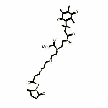 C=C1CCC(=O)N1OC(=O)CCOCCOCCN(CCN(C)C(=O)CC(C)(C)C1=C(C)C(=O)C(C)=C(C)C1=O)C(=O)OC